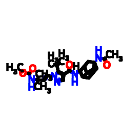 COC(=O)NC(C)(C)/C=C/n1ncc(C(=O)N[C@H]2C3CC4CC2C[C@](NC(C)=O)(C4)C3)c1C(C)C